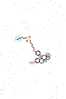 C[C@@]12[CH]CC[C@H]1[C@@H]1CCc3cc(O)ccc3[C@H]1[C@@H](c1ccc(OCCCCCS(=O)(=O)CCCC(F)(F)C(F)(F)F)cc1)C2